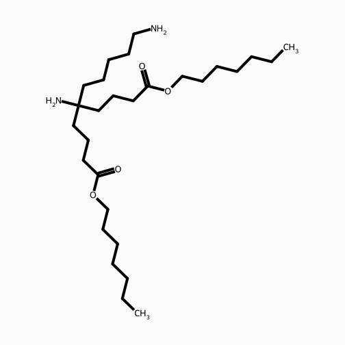 CCCCCCCOC(=O)CCCC(N)(CCCCCN)CCCC(=O)OCCCCCCC